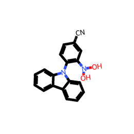 N#Cc1ccc(-n2c3ccccc3c3ccccc32)c(N(O)O)c1